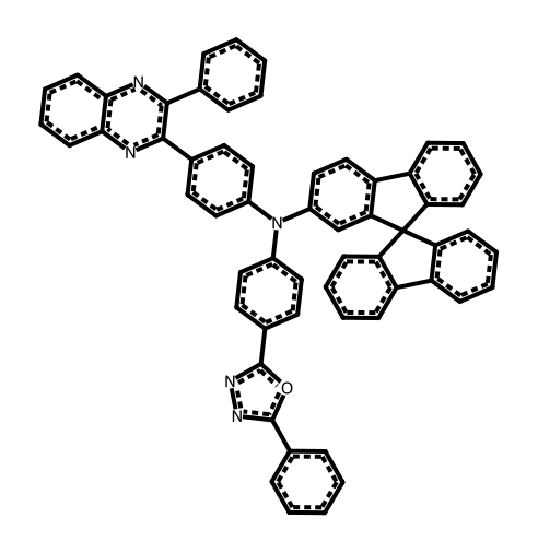 c1ccc(-c2nnc(-c3ccc(N(c4ccc(-c5nc6ccccc6nc5-c5ccccc5)cc4)c4ccc5c(c4)C4(c6ccccc6-c6ccccc64)c4ccccc4-5)cc3)o2)cc1